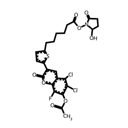 CC(=O)Oc1c(Cl)c(Cl)c2cc(-c3ccc(CCCCCC(=O)ON4C(=O)CCC4O)s3)c(=O)oc2c1F